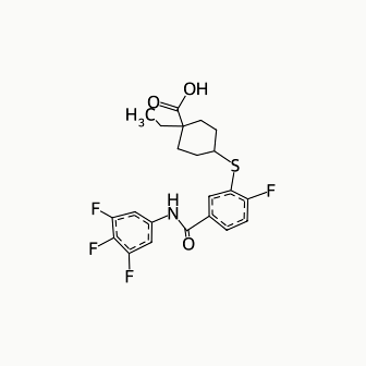 CCC1(C(=O)O)CCC(Sc2cc(C(=O)Nc3cc(F)c(F)c(F)c3)ccc2F)CC1